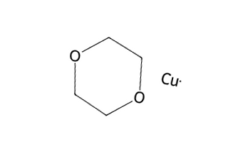 C1COCCO1.[Cu]